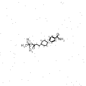 CC(C)(C)OC(=O)CC[C@H]1CC[C@H](c2ccc(C(N)=O)cc2)CC1